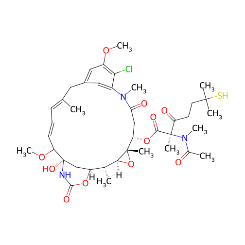 COc1cc2cc(c1Cl)N(C)C(=O)C[C@H](OC(=O)[C@@](C)(C(=O)CCC(C)(C)S)N(C)C(C)=O)[C@]1(C)O[C@H]1[C@H](C)[C@@H]1C[C@@](O)(NC(=O)O1)C(OC)/C=C/C=C(\C)C2